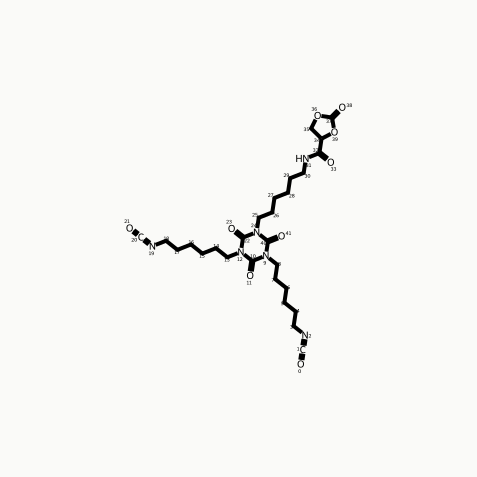 O=C=NCCCCCCn1c(=O)n(CCCCCCN=C=O)c(=O)n(CCCCCCNC(=O)C2COC(=O)O2)c1=O